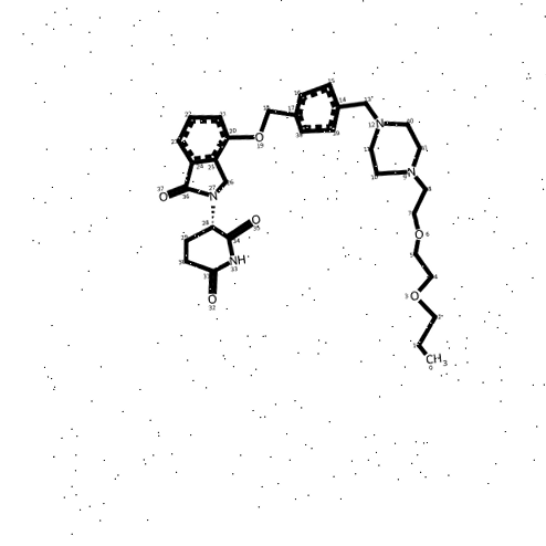 CCCOCCOCCN1CCN(Cc2ccc(COc3cccc4c3CN([C@H]3CCC(=O)NC3=O)C4=O)cc2)CC1